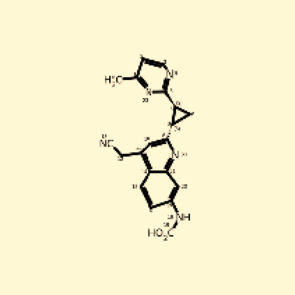 Cc1ccnc([C@H]2C[C@@H]2c2cc(CC#N)c3ccc(NC(=O)O)cc3n2)n1